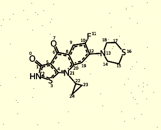 O=c1[nH]sc2c1c(=O)c1cc(F)c(N3CCSCC3)cc1n2C1CC1